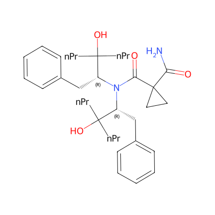 CCCC(O)(CCC)[C@@H](Cc1ccccc1)N(C(=O)C1(C(N)=O)CC1)[C@H](Cc1ccccc1)C(O)(CCC)CCC